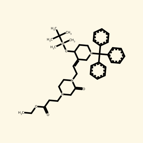 CCOC(=O)CCN1CCN(CC=C2CN(C(c3ccccc3)(c3ccccc3)c3ccccc3)CCC2O[Si](C)(C)C(C)(C)C)C(=O)C1